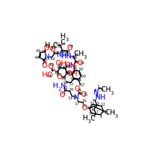 C/C=N\NCC12CC3(C)CC(C)(C1)CC(OCCN(CCC(N)=O)C(=O)OCc1ccc(NC(=O)[C@H](C)NC(=O)[C@@H](NC(=O)CN4C(=O)C=CC4=O)C(C)C)cc1CC[C@@H]1O[C@H](C(=O)O)[C@@H](O)[C@H](O)[C@H]1O)(C3)C2